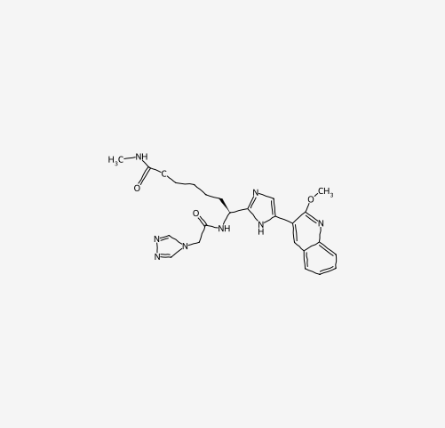 CNC(=O)CCCCC[C@H](NC(=O)Cn1cnnc1)c1ncc(-c2cc3ccccc3nc2OC)[nH]1